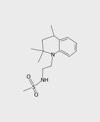 CC1CC(C)(C)N(CCNS(C)(=O)=O)c2ccccc21